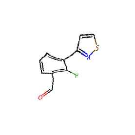 O=Cc1cccc(-c2ccsn2)c1F